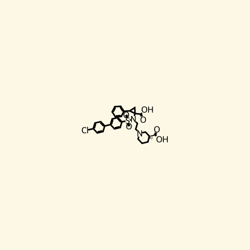 O=C(O)[C@H]1CCCN(CCN(C2(C(=O)O)CC2c2ccccc2)S(=O)(=O)c2ccc(-c3ccc(Cl)cc3)cc2)C1